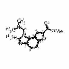 COC(=O)c1cc2c(ccc3nc(N)n(CN(C)C)c32)o1